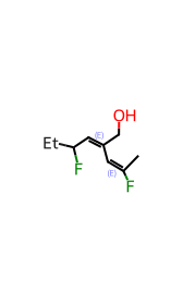 CCC(F)/C=C(\C=C(/C)F)CO